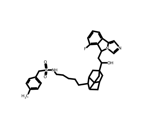 Cc1ccc(CS(=O)(=O)NCCCCCC2C3CC4CC2CC(C(O)CC2c5c(F)cccc5-c5cncn52)(C4)C3)cc1